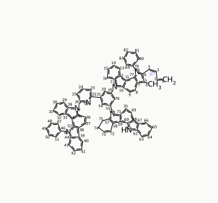 C=C/C=C\c1c(C)c2ccc3c(c4ccccc4n3-c3cc(-c4cccc(-n5c6ccccc6c6c5ccc5c7ccccc7n(-c7ccccc7)c56)n4)cc(-n4c5c(c6c7[nH]c8ccccc8c7ccc64)C=CCC5)c3)c2n1-c1ccccc1